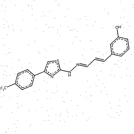 Oc1cccc(C=CC=NNc2nc(-c3ccc(C(F)(F)F)cc3)cs2)c1